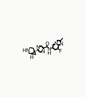 Cc1cn2cc(NC(=O)c3cnc([C@@]45CCNC[C@@H]4C5)cn3)cc(F)c2n1